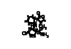 C[C@H]1COC(=O)N1c1ccccc1Nc1nc(Cl)ncc1C(N)=O